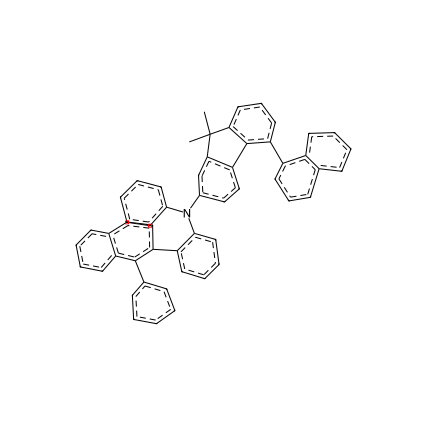 CC1(C)c2cc(N(c3ccccc3)c3ccccc3-c3ccc4ccccc4c3-c3ccccc3)ccc2-c2c(-c3cccc4ccccc34)cccc21